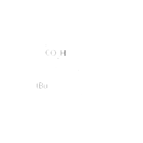 C=CCC(C(=O)O)C(C)(C)C